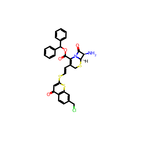 N[C@@H]1C(=O)N2C(C(=O)OC(c3ccccc3)c3ccccc3)=C(/C=C/Sc3cc(=O)c4ccc(CCl)cc4s3)CS[C@H]12